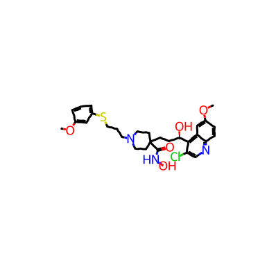 COc1cccc(SCCCN2CCC(CC[C@@H](O)c3c(Cl)cnc4ccc(OC)cc34)(C(=O)NO)CC2)c1